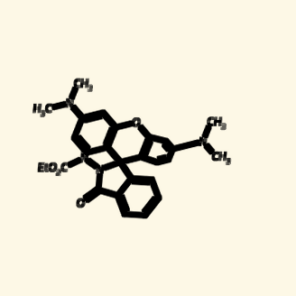 CCOC(=O)NN1C(=O)c2ccccc2C12c1ccc(N(C)C)cc1Oc1cc(N(C)C)ccc12